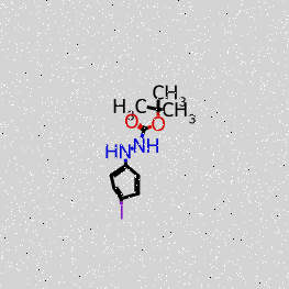 CC(C)(C)OC(=O)NNc1ccc(I)cc1